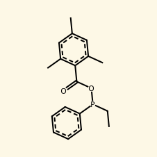 CCP(OC(=O)c1c(C)cc(C)cc1C)c1ccccc1